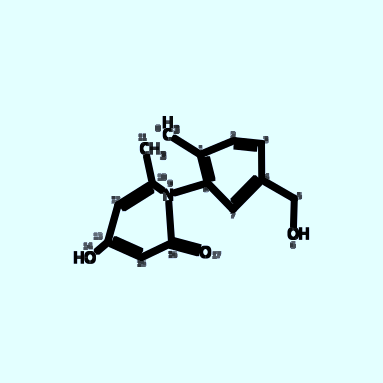 Cc1ccc(CO)cc1-n1c(C)cc(O)cc1=O